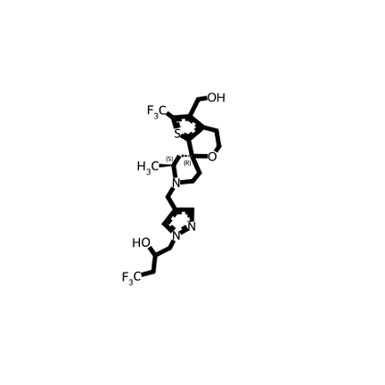 C[C@H]1C[C@@]2(CCN1Cc1cnn(CC(O)CC(F)(F)F)c1)OCCc1c2sc(C(F)(F)F)c1CO